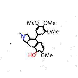 COc1ccc2c(c1O)CC1CN(C)CC1=C2c1cc(OC)c(OC)c(OC)c1